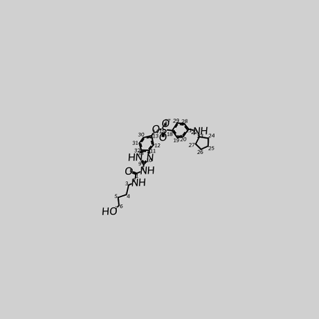 O=C(NCCCCO)Nc1nc2cc(OS(=O)(=O)c3ccc(NC4CCCC4)cc3)ccc2[nH]1